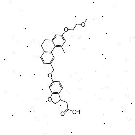 CCOCCOc1cc(C)c2c(c1)CCc1ccc(COc3ccc4c(c3)OCC4CC(=O)O)cc1-2